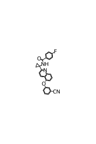 N#Cc1cccc(Oc2cccc3nc(C4(NC(=O)c5ccc(F)cc5)CC4)ccc23)c1